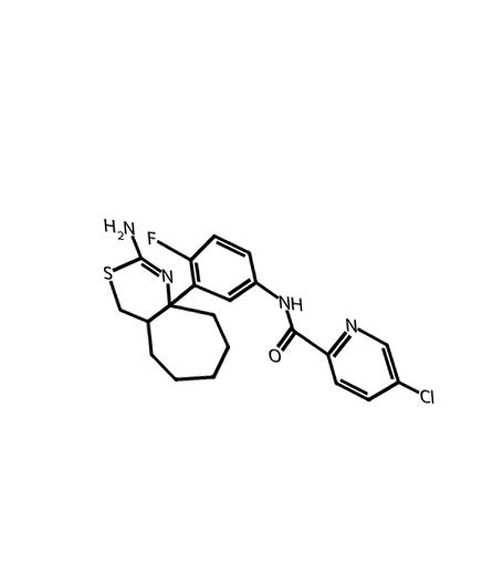 NC1=NC2(c3cc(NC(=O)c4ccc(Cl)cn4)ccc3F)CCCCCC2CS1